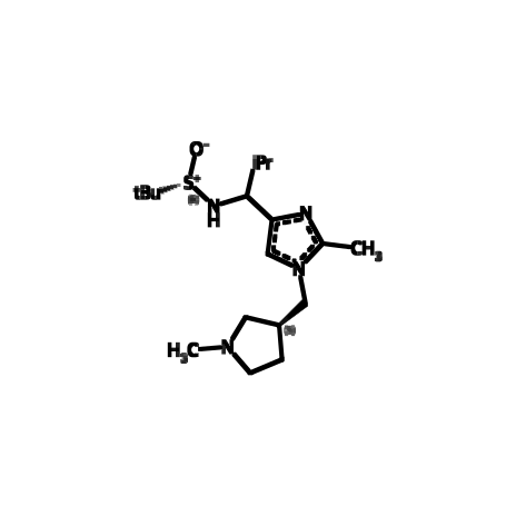 Cc1nc(C(N[S@@+]([O-])C(C)(C)C)C(C)C)cn1C[C@H]1CCN(C)C1